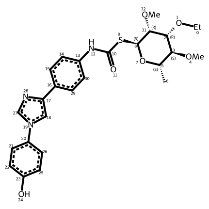 CCO[C@@H]1[C@@H](OC)[C@H](C)O[C@@H](SC(=O)Nc2ccc(-c3cn(-c4ccc(O)cc4)cn3)cc2)[C@@H]1OC